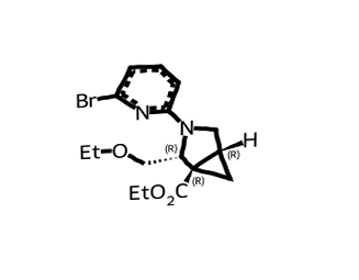 CCOC[C@@H]1N(c2cccc(Br)n2)C[C@@H]2C[C@@]21C(=O)OCC